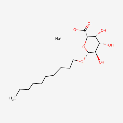 CCCCCCCCCCO[C@@H]1O[C@H](C(=O)[O-])[C@H](O)[C@H](O)[C@H]1O.[Na+]